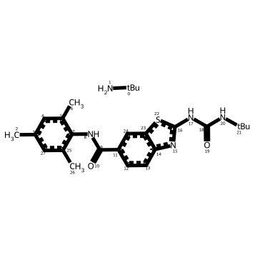 CC(C)(C)N.Cc1cc(C)c(NC(=O)c2ccc3nc(NC(=O)NC(C)(C)C)sc3c2)c(C)c1